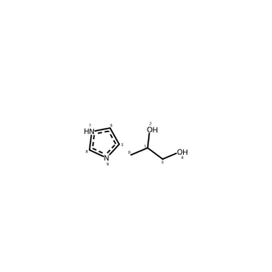 CC(O)CO.c1c[nH]cn1